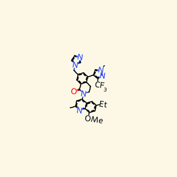 CCc1cc(OC)c2nc(C)cc(N3CCc4c(cc(Cn5ccnc5)cc4-c4cn(C)nc4C(F)(F)F)C3=O)c2c1